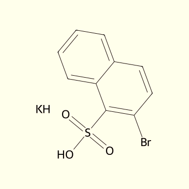 O=S(=O)(O)c1c(Br)ccc2ccccc12.[KH]